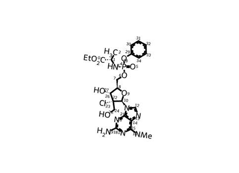 CCOC(=O)[C@H](C)N[P@](=O)(OC[C@H]1O[C@@H](n2cnc3c(NC)nc(N)nc32)[C@@](Cl)(CO)[C@@H]1O)Oc1ccccc1